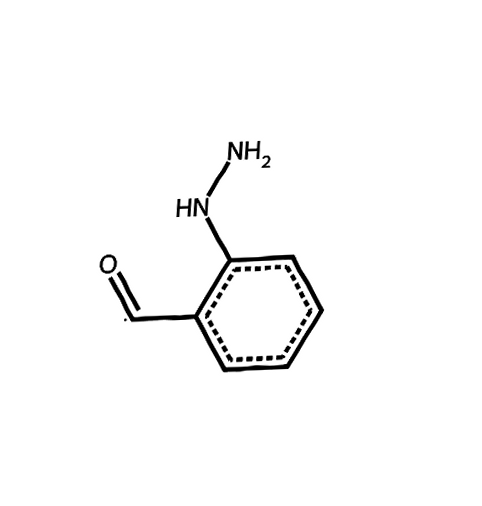 NNc1ccccc1[C]=O